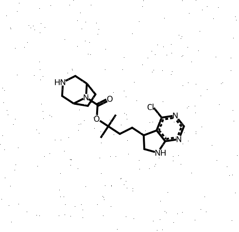 CC(C)(CCC1CNc2ncnc(Cl)c21)OC(=O)N1C2CCC1CNC2